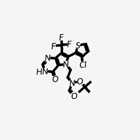 CC(C)(C)ON(C=O)CCn1c(-c2sccc2Cl)c(C(F)(F)F)c2nc[nH]c(=O)c21